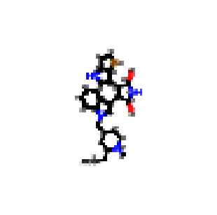 COCC1CC(Cn2cc(C3=C(c4c[nH]c5ccsc45)C(=O)NC3=O)c3ccccc32)CCN1C